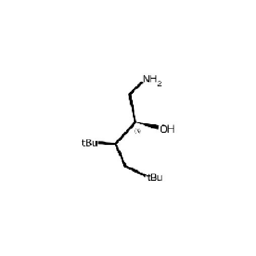 CC(C)(C)CC([C@H](O)CN)C(C)(C)C